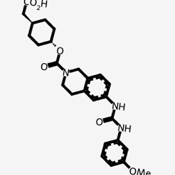 COc1cccc(NC(=O)Nc2ccc3c(c2)CCN(C(=O)O[C@H]2CC[C@H](CC(=O)O)CC2)C3)c1